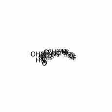 Cc1c(OCc2ccc(CN3CCC(c4ccc(F)cc4)CC3)cc2)cccc1C(=O)N(C=O)C1CCC(=O)NC1=O